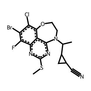 CSc1nc2c3c(c(Cl)c(Br)c(F)c3n1)OCCN2C(C)C1CC1C#N